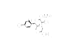 CCC(C(C)OC)N1CC(C)OCC1Cc1ccc(Cl)cc1